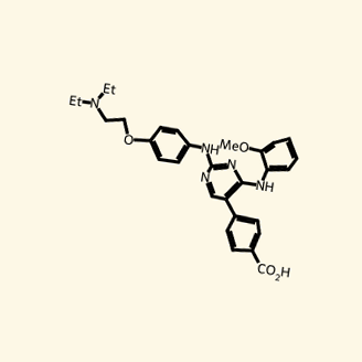 CCN(CC)CCOc1ccc(Nc2ncc(-c3ccc(C(=O)O)cc3)c(Nc3ccccc3OC)n2)cc1